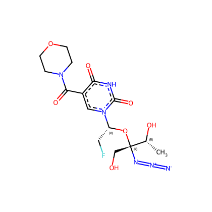 C[C@@H](O)[C@](CO)(N=[N+]=[N-])O[C@H](CF)n1cc(C(=O)N2CCOCC2)c(=O)[nH]c1=O